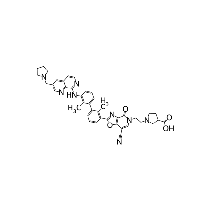 Cc1c(Nc2nccc3cc(CN4CCCC4)cnc23)cccc1-c1cccc(-c2nc3c(=O)n(CCN4CCC(C(=O)O)C4)cc(C#N)c3o2)c1C